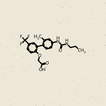 CCCNC(=O)Nc1ccc(-c2cc(C(F)(F)F)ccc2OCC(=O)O)c(C)c1